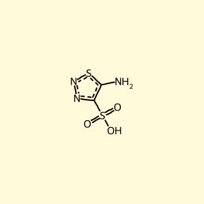 Nc1snnc1S(=O)(=O)O